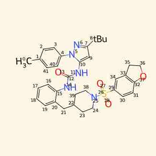 Cc1ccc(-n2nc(C(C)(C)C)cc2NC(=O)Nc2ccccc2CC2CCN(S(=O)(=O)c3ccc4c(c3)CCO4)CC2)cc1